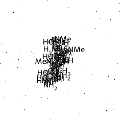 CNC(C)[C@@H]1CCC(NCCNC[C@@]2(O)C(O[C@@H]3OC(CO)[C@H](O)[C@H](O)C3NC)[C@H](OC3[C@@H](NC(=N)N)C(O)C(NC(=N)N)[C@H](O)[C@@H]3O)O[C@H]2C)C(OC2[C@H](O)C(OC3OC[C@](C)(O)[C@H](NC)[C@H]3O)[C@H](N)C[C@@H]2N)O1